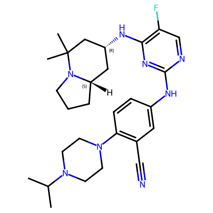 CC(C)N1CCN(c2ccc(Nc3ncc(F)c(N[C@@H]4C[C@@H]5CCCN5C(C)(C)C4)n3)cc2C#N)CC1